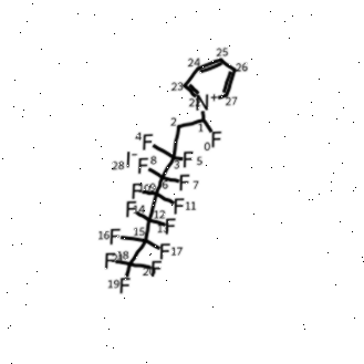 FC(CC(F)(F)C(F)(F)C(F)(F)C(F)(F)C(F)(F)C(F)(F)F)[n+]1ccccc1.[I-]